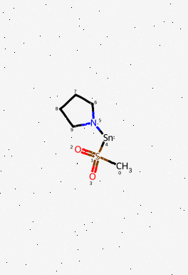 C[S](=O)(=O)[Sn][N]1CCCC1